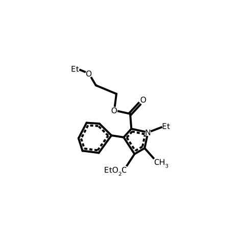 CCOCCOC(=O)c1c(-c2ccccc2)c(C(=O)OCC)c(C)n1CC